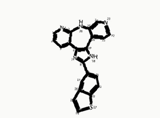 c1cnc2c(c1)-c1nc(-c3ccc4sccc4c3)[nH]c1-c1ccncc1N2